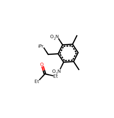 CCC(=O)CC.Cc1cc(C)c([N+](=O)[O-])c(CC(C)C)c1[N+](=O)[O-]